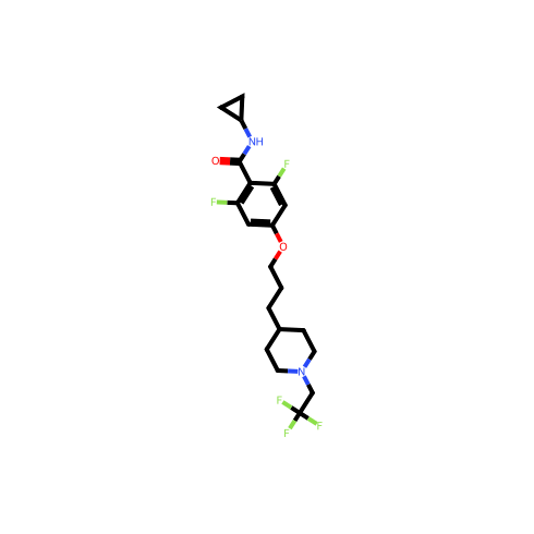 O=C(NC1CC1)c1c(F)cc(OCCCC2CCN(CC(F)(F)F)CC2)cc1F